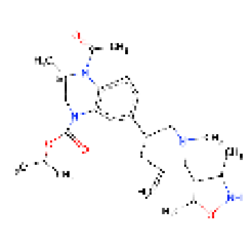 C=CCC(CN(C)CC1C(C)NOC1C)c1ccc2c(c1)N(C(=O)OC(C)C)C[C@H](C)N2C(C)=O